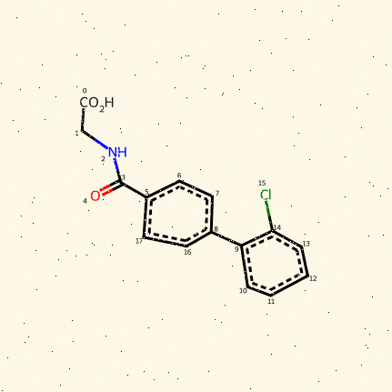 O=C(O)CNC(=O)c1ccc(-c2ccccc2Cl)cc1